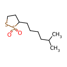 CC(C)CCCCC1CCSS1(=O)=O